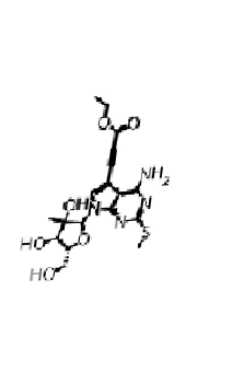 CCOC(=O)C#Cc1cn(C2O[C@H](CO)[C@@H](O)C2(C)O)c2nc(SC)nc(N)c12